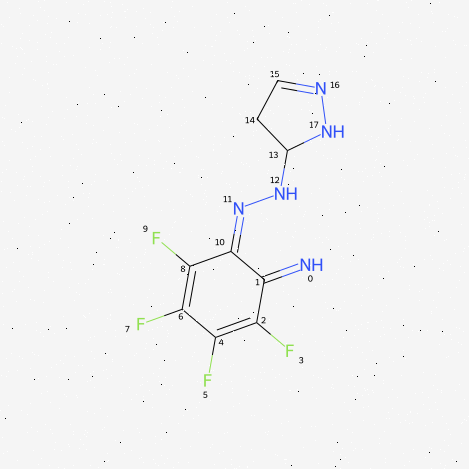 N=C1C(F)=C(F)C(F)=C(F)/C1=N/NC1CC=NN1